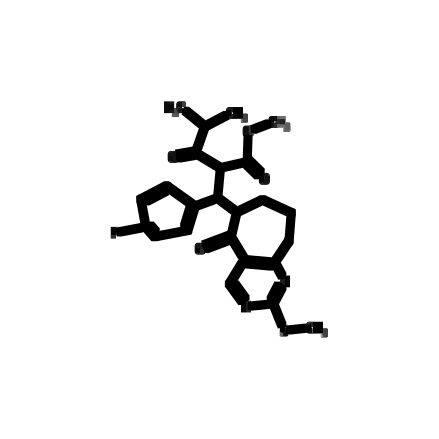 COC(=O)C(C(=O)C(C)C)C(c1ccc(F)cc1)C1CCCc2nc(SC)ncc2C1=O